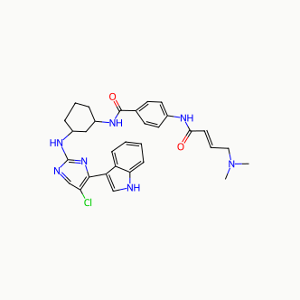 CN(C)CC=CC(=O)Nc1ccc(C(=O)NC2CCCC(Nc3ncc(Cl)c(-c4c[nH]c5ccccc45)n3)C2)cc1